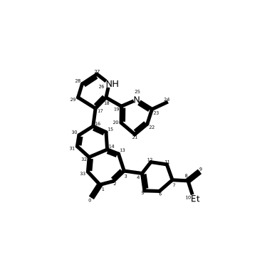 C=C1C=C(C2=CCC(C(=C)CC)CC2)C=c2cc(C3=C(c4cccc(C)n4)NC=CC3)ccc2=C1